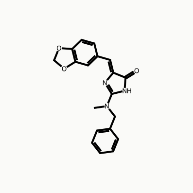 CN(Cc1ccccc1)C1=NC(=Cc2ccc3c(c2)OCO3)C(=O)N1